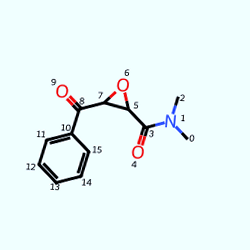 CN(C)C(=O)C1OC1C(=O)c1ccccc1